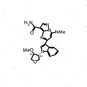 CNc1cc(-c2cn([C@@H]3COC[C@H]3OC)c3ccccc23)nc2c(C(N)=O)cnn12